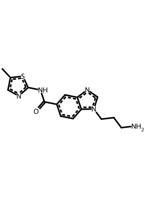 Cc1cnc(NC(=O)c2ccc3c(c2)ncn3CCCN)s1